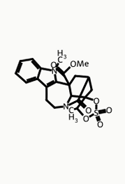 COC(=O)C12CC3CC4(OS(=O)(=O)OC4C)C1N(CCc1c2n(C)c2ccccc12)C3=O